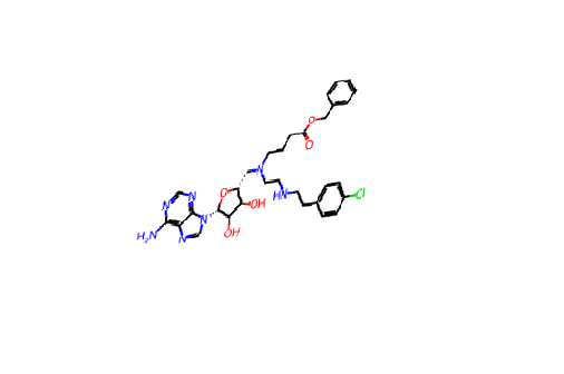 Nc1ncnc2c1ncn2[C@@H]1O[C@H](CN(CCCC(=O)OCc2ccccc2)CCNCCc2ccc(Cl)cc2)[C@@H](O)[C@H]1O